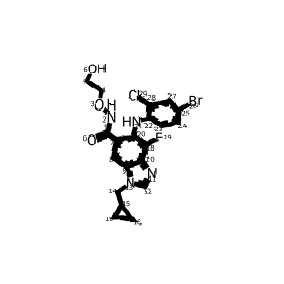 O=C(NOCCO)c1cc2c(ncn2CC2CC2)c(F)c1Nc1ccc(Br)cc1Cl